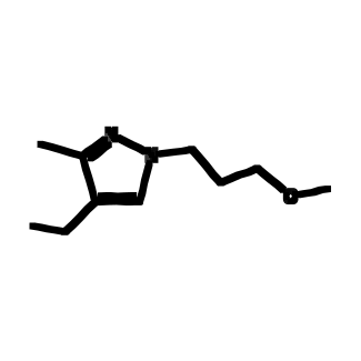 CCc1cn(CCCOC)nc1C